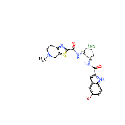 CN1CCc2nc(C(=O)N[C@@H]3CCC[C@H]3NC(=O)c3cc4cc(Br)ccc4[nH]3)sc2C1.Cl